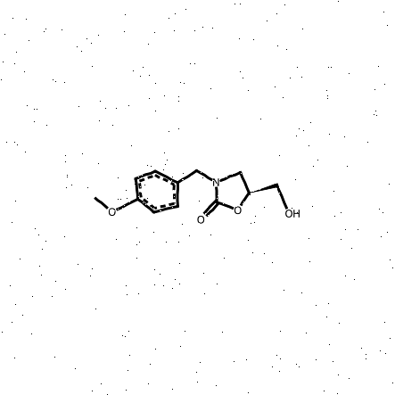 COc1ccc(CN2C[C@@H](CO)OC2=O)cc1